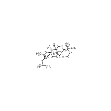 C=C(CC[C@@H](C)[C@H]1CC[C@@]2(C)[C@@H]3CC[C@H]4C(C)(C)CC[CH][C@@]45C[C@@]35CC[C@]12C)C(C)C